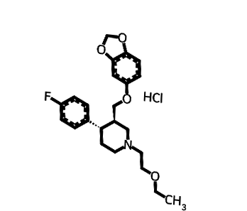 CCOCCN1CC[C@H](c2ccc(F)cc2)[C@@H](COc2ccc3c(c2)OCO3)C1.Cl